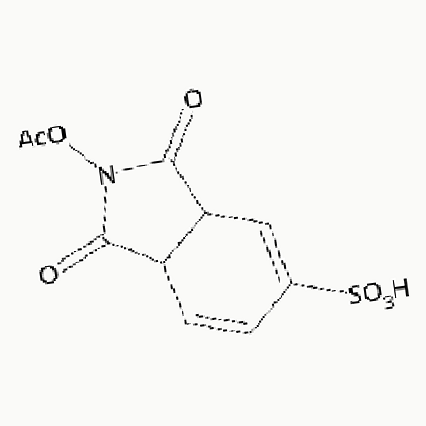 CC(=O)ON1C(=O)C2C=CC(S(=O)(=O)O)=CC2C1=O